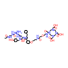 CCC(=O)NCCNC(=O)/N=C(/N)NCCC[C@@H](NC(=O)C(CCCc1ccccc1)c1cccc(OCCCCNC(=O)CCOCCNC(C=O)N2CCN(CC(=O)O)CCN(CC(=O)O)CCN(CC(=O)O)CC2)c1)C(=O)NCc1ccc(O)cc1